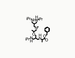 CC(C)NCC(CNC(C)C(=O)OCc1ccccc1)COC(C)CN(C)CC(CNC(C)C)CNC(C)C